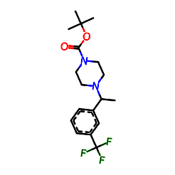 CC(c1cccc(C(F)(F)F)c1)N1CCN(C(=O)OC(C)(C)C)CC1